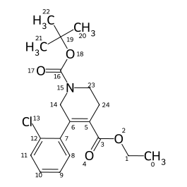 CCOC(=O)C1=C(c2ccccc2Cl)CN(C(=O)OC(C)(C)C)CC1